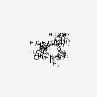 CC[C@H]1OC(=O)[C@H](C)[C@@H](O[C@H]2C[C@@](C)(OC)[C@@](C)(O)[C@H](C)O2)[C@H](C)[C@@H](O[C@@H]2O[C@H](C)C[C@H](N(C)C(=O)N(C)c3ccccc3)[C@H]2O)[C@](C)(O)C[C@@H](C)CN[C@H](C)[C@@H](O)[C@]1(C)O